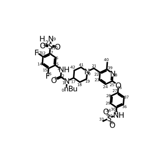 CCCCN(C(=O)Nc1cc(S(N)(=O)=O)c(F)cc1F)C1CCN(Cc2ccc(Oc3ccc(NS(C)(=O)=O)cc3)nc2C)CC1